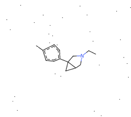 CCN1CC2CC2(c2ccc(C)cc2)C1